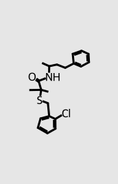 CC(CCc1ccccc1)NC(=O)C(C)(C)SCc1ccccc1Cl